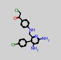 Nc1cc(N)c(-c2ccc(Cl)cc2)c(CNc2ccc(C(=O)CCl)cc2)n1